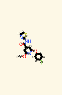 CC(C)Oc1cc(C(=O)Nc2nccs2)cc(Oc2ccc(F)cc2)n1